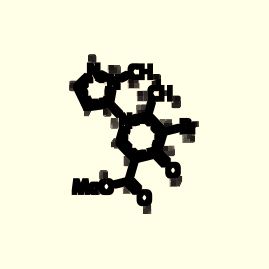 COC(=O)c1cn(-c2ccnn2C)c(C)c(Br)c1=O